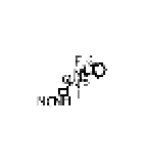 N#CNC1CC(C(=O)Nc2ncc([C@@H]3CCCC[C@H]3C(F)(F)F)s2)C1